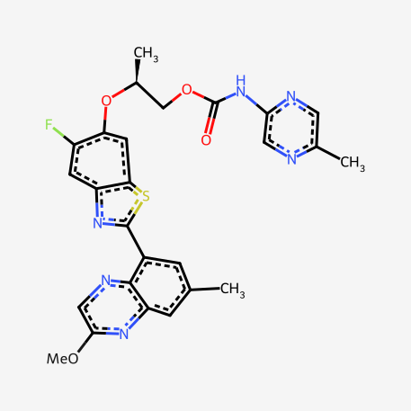 COc1cnc2c(-c3nc4cc(F)c(O[C@@H](C)COC(=O)Nc5cnc(C)cn5)cc4s3)cc(C)cc2n1